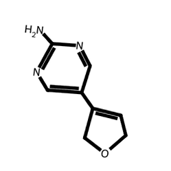 Nc1ncc(C2=CCOC2)cn1